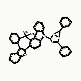 CC1(C)c2ccccc2-c2c(oc3ccccc23)-c2ccc3c(c21)c1ccccc1n3C1N=C(c2ccccc2)N2C(c3ccccc3)N12